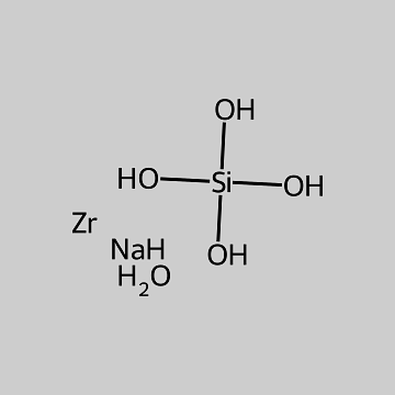 O.O[Si](O)(O)O.[NaH].[Zr]